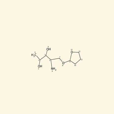 CC(O)C(O)C(N)COC1CCCO1